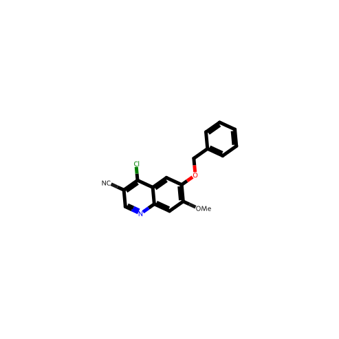 COc1cc2ncc(C#N)c(Cl)c2cc1OCc1ccccc1